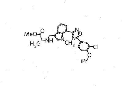 COC(=O)[C@@H](C)NCc1cn(C)c2c(-c3noc(-c4ccc(OC(C)C)c(Cl)c4)n3)cccc12